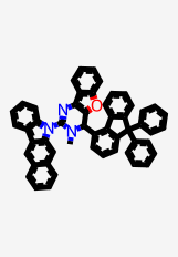 CN1C(n2c3ccccc3c3cc4ccccc4cc32)=Nc2c(oc3ccccc23)C1c1cccc2c1-c1ccccc1C2(c1ccccc1)c1ccccc1